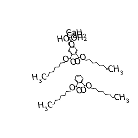 CCCCCCCCOC(=O)c1ccccc1C(=O)OCCCCCCCC.CCCCCCCCOC(=O)c1ccccc1C(=O)OCCCCCCCC.O=C(O)O.[CaH2].[CaH2]